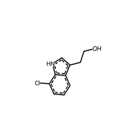 OCCc1c[nH]c2c(Cl)cccc12